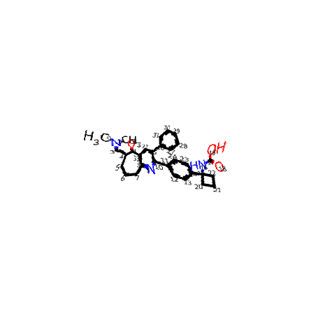 CN(C)C=C1CCCc2nc(-c3ccc(C4(NC(=O)O)CCC4)cc3)c(-c3ccccc3)cc2C1=O